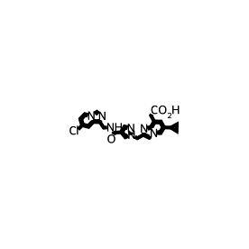 O=C(O)Cc1cc(C2CC2)cn2cc(Cn3cc(C(=O)NCc4ncn5ccc(Cl)cc45)cn3)nc12